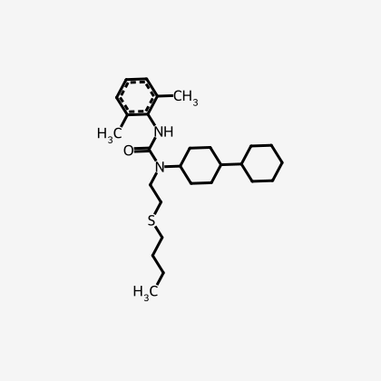 CCCCSCCN(C(=O)Nc1c(C)cccc1C)C1CCC(C2CCCCC2)CC1